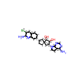 Nc1nc2cc([C@H]3CC[C@]4(C3)C[C@@H](n3ccc5c(N)ncnc53)[C@H](O)[C@@H]4O)ccc2cc1Br